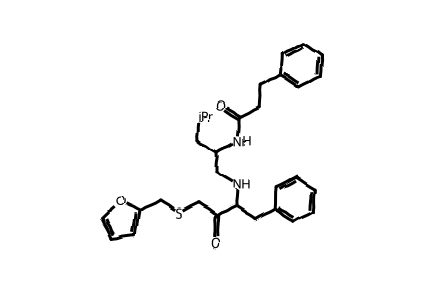 CC(C)CC(CNC(Cc1ccccc1)C(=O)CSCc1ccco1)NC(=O)CCc1ccccc1